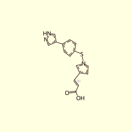 O=C(O)/C=C/c1ccn(Sc2ccc(-c3cn[nH]c3)cc2)c1